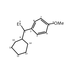 CCC(c1ccc(OC)cc1)C1CCCCC1